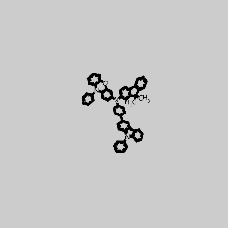 CC1(C)c2ccccc2-c2ccc(N(c3ccc(-c4ccc5c(c4)c4ccccc4n5-c4ccccc4)cc3)c3ccc4c(c3)Oc3ccccc3N4c3ccccc3)cc21